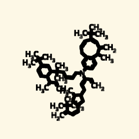 C=C/C(=C\CC1CC(/C=C\C(=C)C(C)(C)C)CC1C)N(C/C=C\CC(C)(C)C1C=C(C(C)(C)C)C=CC1C(C)C=C)c1ccc2c(c1)C/C=C\C(C(C)(C)C)=C/C(=C)C2C